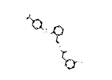 COc1cccc(CC(=O)NN=Cc2ccccc2OS(=O)(=O)c2ccc(C(C)=O)cc2)c1